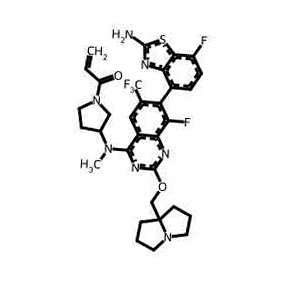 C=CC(=O)N1CCC(N(C)c2nc(OCC34CCCN3CCC4)nc3c(F)c(-c4ccc(F)c5sc(N)nc45)c(C(F)(F)F)cc23)C1